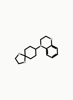 c1ccc2c(c1)OCCN2C1CCC2(CC1)OCCO2